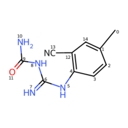 Cc1ccc(NC(=N)NC(N)=O)c(C#N)c1